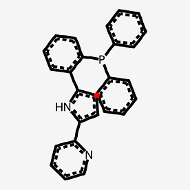 c1ccc(P(c2ccccc2)c2ccccc2-c2ccc(-c3ccccn3)[nH]2)cc1